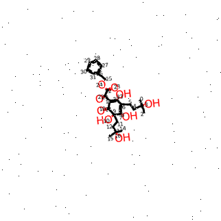 CC(C)(O)CCC1=C(O)C(O)(CCC(C)(C)O)C(=O)C(C(=O)C(=O)OCc2ccccc2)=C1O